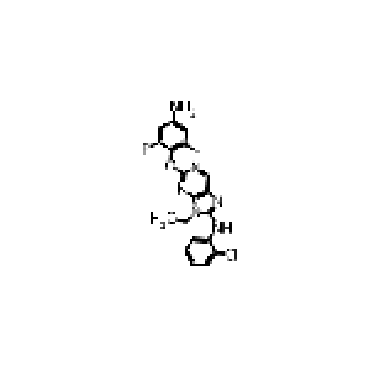 CCn1c(Nc2ccccc2Cl)nc2cnc(Oc3c(F)cc(N)cc3F)nc21